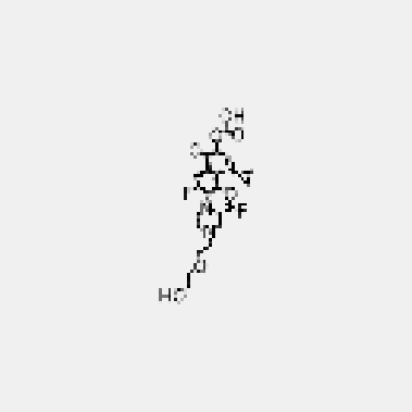 O=C(O)Oc1cn(C2CC2)c2c(OC(F)F)c(N3CCN(CCOCCO)CC3)c(F)cc2c1=O